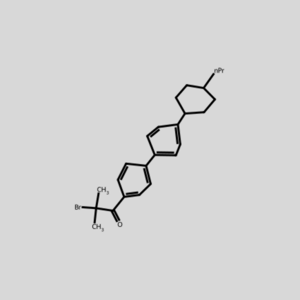 CCCC1CCC(c2ccc(-c3ccc(C(=O)C(C)(C)Br)cc3)cc2)CC1